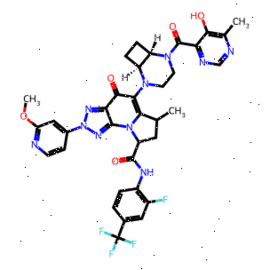 COc1cc(-n2nc3c(=O)c(N4CCN(C(=O)c5ncnc(C)c5O)[C@H]5CC[C@@H]54)c4n(c3n2)C(C(=O)Nc2ccc(C(F)(F)F)cc2F)CC4C)ccn1